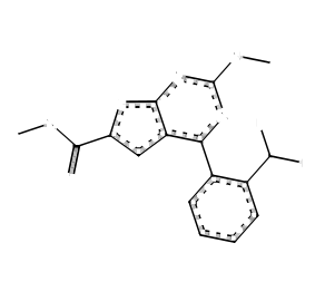 CNC(=O)c1cc2c(-c3ccccc3C(F)F)nc(NC)nc2s1